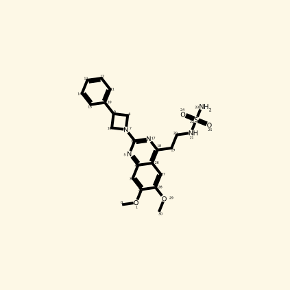 COc1cc2nc(N3CC(c4ccccc4)C3)nc(CCNS(N)(=O)=O)c2cc1OC